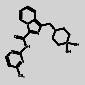 Cc1ccnc(NC(=O)c2nc(CN3CCS(O)(O)CC3)c3ccccn23)n1